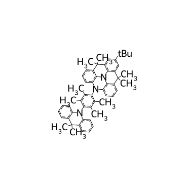 Cc1c(C)c(N2c3cccc4c3N3c5c2cccc5C(C)(C)c2cc(C(C)(C)C)cc(c23)C4(C)C)c(C)c(C)c1N1c2ccccc2C(C)(C)c2ccccc21